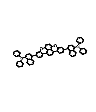 c1ccc(N(c2ccccc2)c2ccc(-c3ccc4c(c3)Oc3ccc5c6c(ccc-4c36)-c3ccc(-c4ccc(N(c6ccccc6)c6ccccc6)c6ccccc46)cc3O5)c3ccccc23)cc1